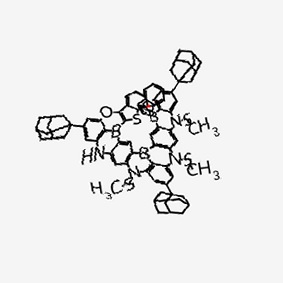 CSN1c2cc3c(cc2B2c4sc5ccccc5c4Oc4cc(C56CC7CC(CC(C7)C5)C6)cc1c42)B1c2cc4c(cc2N(SC)c2cc(C56CC7CC(CC(C7)C5)C6)cc(c21)N3SC)Nc1cc(C23CC5CC(CC(C5)C2)C3)cc2c1B4c1sc3ccccc3c1O2